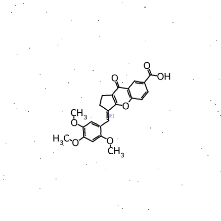 COc1cc(OC)c(OC)cc1/C=C1\CCc2c1oc1ccc(C(=O)O)cc1c2=O